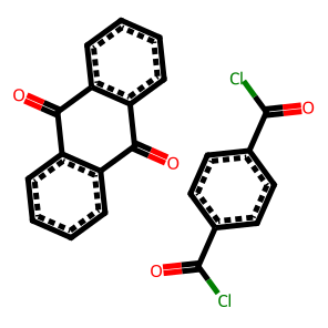 O=C(Cl)c1ccc(C(=O)Cl)cc1.O=C1c2ccccc2C(=O)c2ccccc21